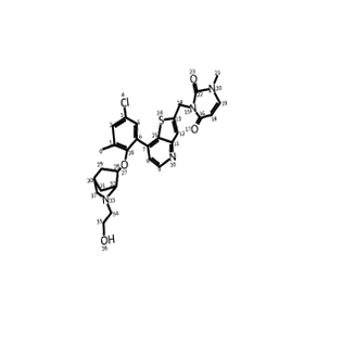 Cc1cc(Cl)cc(-c2ccnc3cc(Cn4c(=O)ccn(C)c4=O)sc23)c1OC1CC2CC1N(CCO)C2